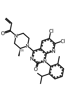 C=CC(=O)N1CCN(c2nc(=O)n(-c3c(C)cccc3C(C)C)c3nc(Cl)c(Cl)cc23)[C@@H](C)C1